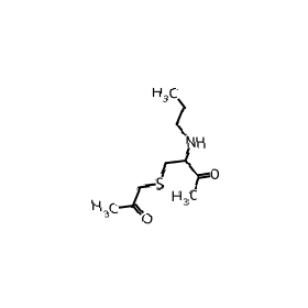 CCCNC(CSCC(C)=O)C(C)=O